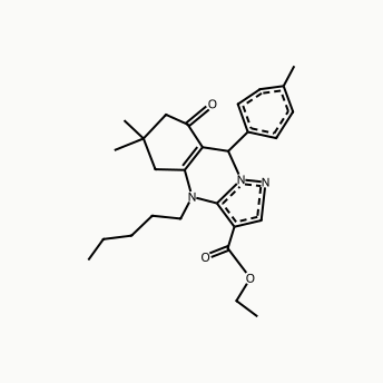 CCCCCN1C2=C(C(=O)CC(C)(C)C2)C(c2ccc(C)cc2)n2ncc(C(=O)OCC)c21